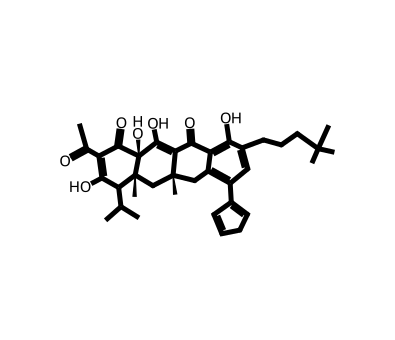 CC(=O)C1=C(O)C(C(C)C)[C@@]2(C)C[C@@]3(C)Cc4c(C5=CCC=C5)cc(CCCC(C)(C)C)c(O)c4C(=O)C3=C(O)[C@@]2(O)C1=O